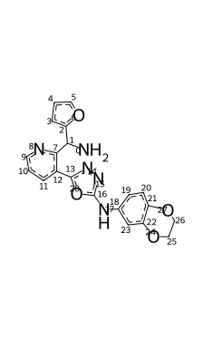 NC(c1ccco1)c1ncccc1-c1nnc(Nc2ccc3c(c2)OCCO3)o1